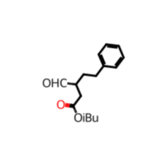 CC(C)COC(=O)CC(C=O)CCc1ccccc1